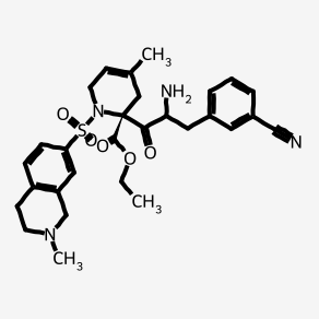 CCOC(=O)[C@]1(C(=O)C(N)Cc2cccc(C#N)c2)CC(C)=CCN1S(=O)(=O)c1ccc2c(c1)CN(C)CC2